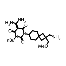 CCCCN1C(=O)C(=C(N)N)C(=O)N(C2CCC3(CC2)CC(CN)(COC)C3)C1=O